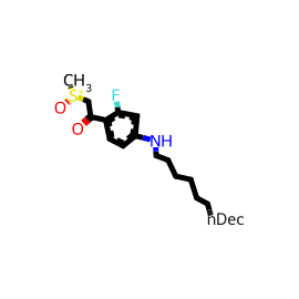 CCCCCCCCCCCCCCCCNc1ccc(C(=O)C[S+](C)[O-])c(F)c1